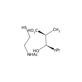 CC(=O)NCCS.CCC[C@@H](O)[C@H](C)C(=O)O